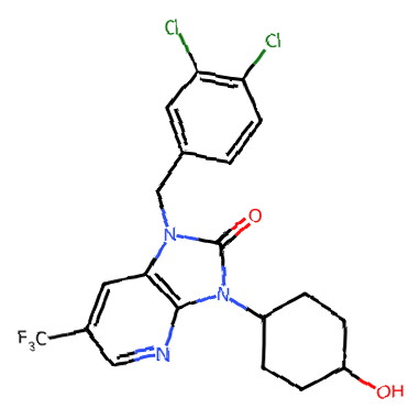 O=c1n(Cc2ccc(Cl)c(Cl)c2)c2cc(C(F)(F)F)cnc2n1C1CCC(O)CC1